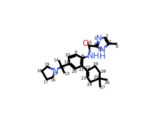 Cc1cnc(C(=O)Nc2ccc(C(C)(C)N3CCCC3)cc2C2=CCC(C)(C)CC2)[nH]1